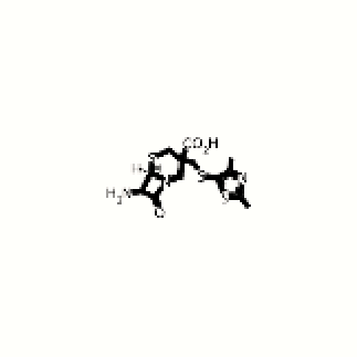 Cc1nc(C)c(SCC2(C(=O)O)CS[C@@H]3C(N)C(=O)N3C2)s1